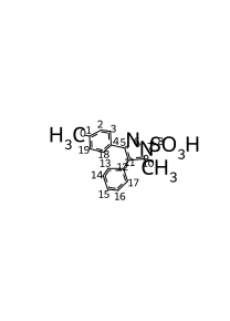 Cc1ccc(-c2nn(S(=O)(=O)O)c(C)c2-c2ccccc2)cc1